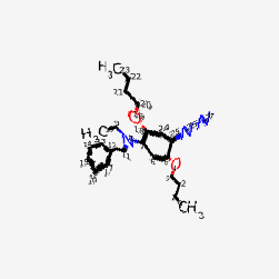 CCCCOC1=CC(N(CC)Cc2ccccc2)C(OCCCC)=CC1=[N+]=[N-]